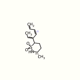 C=C/C=C\C(=CC)C1CC[C@H](C)NS1(=O)=O